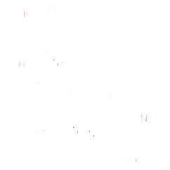 CCOc1cc(-c2nn(C(C)C(F)(F)F)c3c2CC[C@@H](C(=O)NC2(C)CCS(O)(O)CC2)C3)c(F)cn1